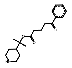 CC(C)(OC(=O)CCCC(=O)c1ccccc1)C1CCNCC1